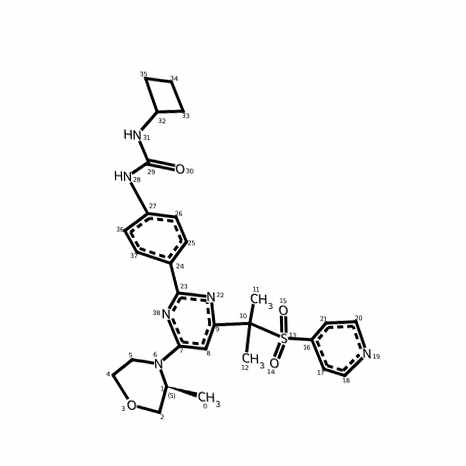 C[C@H]1COCCN1c1cc(C(C)(C)S(=O)(=O)c2ccncc2)nc(-c2ccc(NC(=O)NC3CCC3)cc2)n1